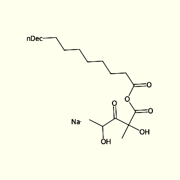 CCCCCCCCCCCCCCCCCC(=O)OC(=O)C(C)(O)C(=O)C(C)O.[Na]